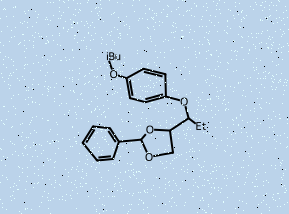 CCC(C)Oc1ccc(OC(CC)C2COC(c3ccccc3)O2)cc1